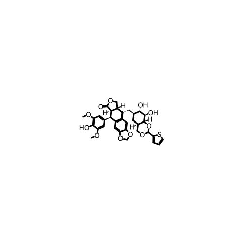 COc1cc([C@@H]2c3cc4c(cc3[C@@H](C[C@@H]3C[C@@H]5COC(c6cccs6)O[C@H]5[C@H](O)[C@H]3O)[C@H]3COC(=O)[C@H]23)OCO4)cc(OC)c1O